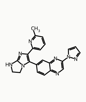 Cc1cccc(-c2nc3n(c2-c2ccc4ncc(-n5cccn5)nc4c2)CCN3)n1